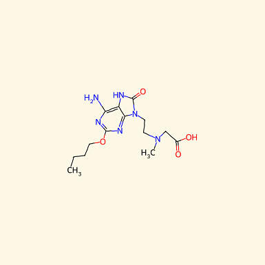 CCCCOc1nc(N)c2[nH]c(=O)n(CCN(C)CC(=O)O)c2n1